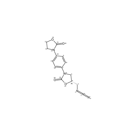 [N-]=[N+]=NC[C@H]1CN(c2ccc(N3CCOC3=O)cc2)C(=O)O1